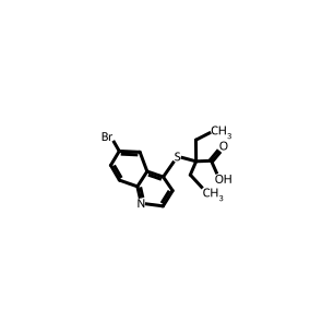 CCC(CC)(Sc1ccnc2ccc(Br)cc12)C(=O)O